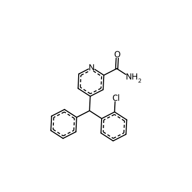 NC(=O)c1cc(C(c2ccccc2)c2ccccc2Cl)ccn1